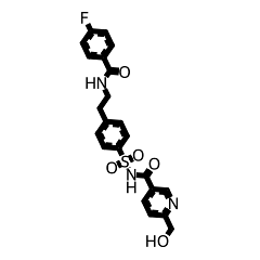 O=C(NCCc1ccc(S(=O)(=O)NC(=O)c2ccc(CO)nc2)cc1)c1ccc(F)cc1